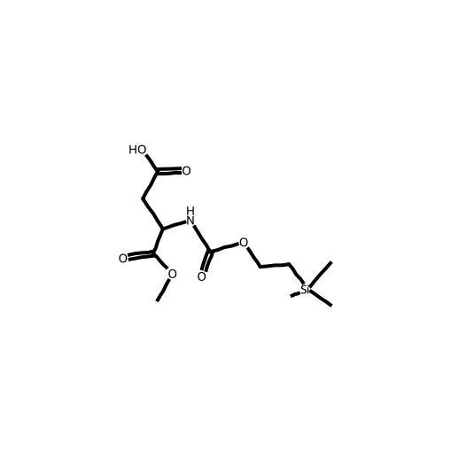 COC(=O)C(CC(=O)O)NC(=O)OCC[Si](C)(C)C